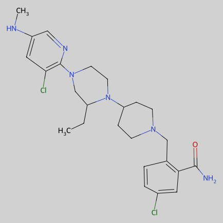 CCC1CN(c2ncc(NC)cc2Cl)CCN1C1CCN(Cc2ccc(Cl)cc2C(N)=O)CC1